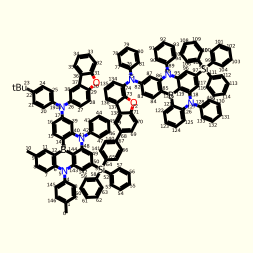 Cc1ccc(N2c3ccc(C)cc3B3c4ccc(N(c5ccc(C(C)(C)C)cc5)c5ccc6oc7ccccc7c6c5)cc4N(c4ccccc4)c4cc([Si](c5ccccc5)(c5ccccc5)c5ccc(-c6ccc7oc8c(N(c9ccccc9)c9ccc%10c(c9)N(c9ccccc9)c9cc([Si](c%11ccccc%11)(c%11ccccc%11)c%11ccccc%11)cc%11c9B%10c9ccccc9N%11c9ccccc9)cccc8c7c6)cc5)cc2c43)cc1